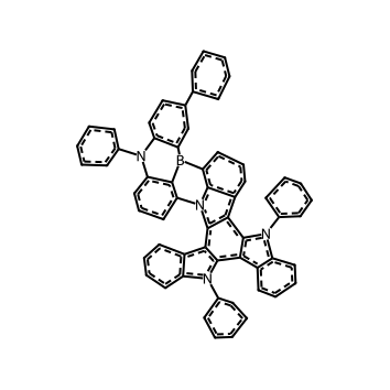 c1ccc(-c2ccc3c(c2)B2c4c(cccc4-n4c5c2cccc5c2c5c(c6ccccc6n5-c5ccccc5)c5c(c6ccccc6n5-c5ccccc5)c24)N3c2ccccc2)cc1